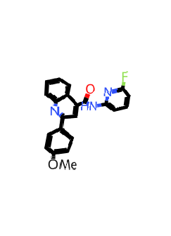 COc1ccc(-c2cc(C(=O)Nc3cccc(F)n3)c3ccccc3n2)cc1